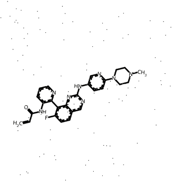 C=CC(=O)Nc1cccnc1-c1c(F)ccc2cnc(Nc3ccc(N4CCN(C)CC4)nc3)nc12